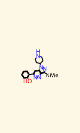 CNc1nn(C2CCNCC2)c2cc(-c3ccccc3O)nnc12